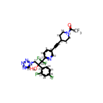 O=C(N1CCC(C#Cc2ccc(C(F)(F)C(O)(Cn3cnnn3)c3ccc(F)cc3F)nc2)CC1)C(F)(F)F